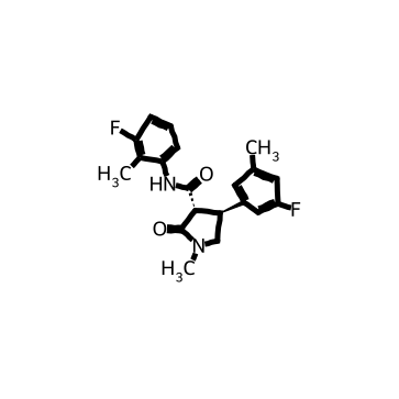 Cc1cc(F)cc([C@H]2CN(C)C(=O)[C@@H]2C(=O)Nc2cccc(F)c2C)c1